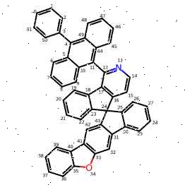 c1ccc(-c2c3ccccc3c(-c3nccc4c3-c3ccccc3C43c4ccccc4-c4cc5oc6ccccc6c5cc43)c3ccccc23)cc1